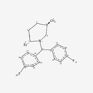 CC[C@@H]1CC[C@@H](C)CN1C(c1ccc(F)cc1)c1ccc(F)cc1